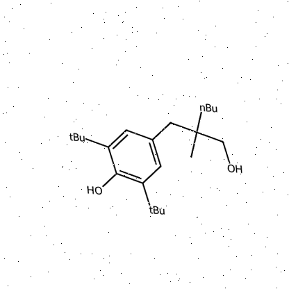 CCCCC(C)(CO)Cc1cc(C(C)(C)C)c(O)c(C(C)(C)C)c1